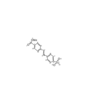 COC(=O)c1ccc(/C=N/c2ccc(S(C)(=O)=O)cc2)cc1